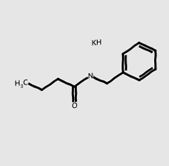 CCCC(=O)[N]Cc1ccccc1.[KH]